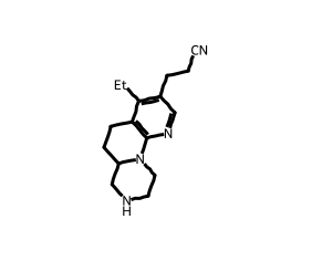 CCc1c(CCC#N)cnc2c1CCC1CNCCN21